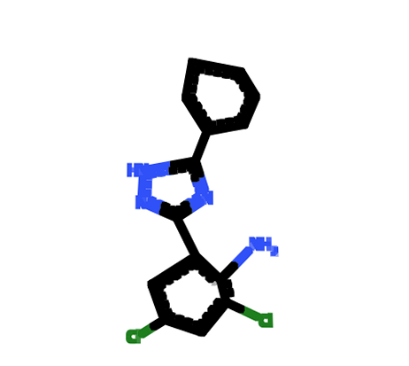 Nc1c(Cl)cc(Cl)cc1-c1n[nH]c(-c2ccccc2)n1